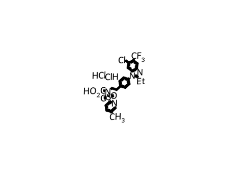 CCc1nc2cc(C(F)(F)F)c(Cl)cc2n1-c1ccc(CCN(C(=O)O)S(=O)(=O)c2ccc(C)cn2)cc1.Cl.Cl